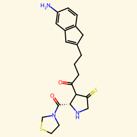 Nc1ccc2c(c1)C=C(CCCC(=O)C1C(=S)CN[C@@H]1C(=O)N1CCSC1)C2